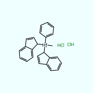 Cl.Cl.[CH3][Hf]([c]1ccccc1)([CH]1C=Cc2ccccc21)[CH]1C=Cc2ccccc21